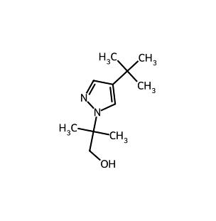 CC(C)(C)c1cnn(C(C)(C)CO)c1